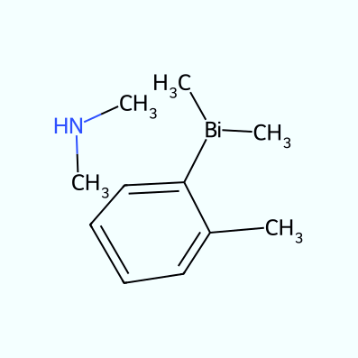 CNC.Cc1cccc[c]1[Bi]([CH3])[CH3]